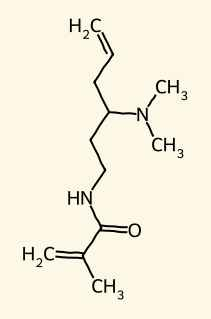 C=CCC(CCNC(=O)C(=C)C)N(C)C